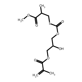 C=C(C)C(=O)OCC(O)COC(=O)SCC(C)C(=O)OC